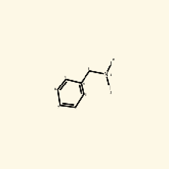 IN(I)Cc1ccccc1